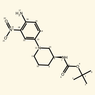 CC(C)(C)OC(=O)N[C@H]1CCCN(c2ccc(N)c([N+](=O)[O-])c2)C1